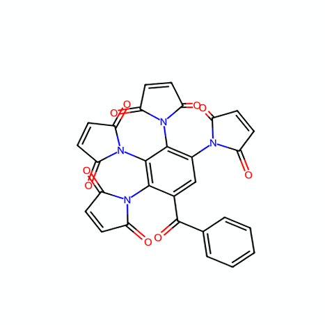 O=C(c1ccccc1)c1cc(N2C(=O)C=CC2=O)c(N2C(=O)C=CC2=O)c(N2C(=O)C=CC2=O)c1N1C(=O)C=CC1=O